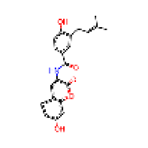 CC(C)=CCc1cc(C(=O)Nc2cc3ccc(O)cc3oc2=O)ccc1O